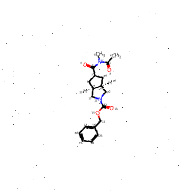 CC(=O)N(C)C(=O)C1C[C@@H]2CN(C(=O)OCc3ccccc3)C[C@@H]2C1